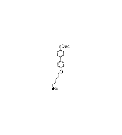 CCCCCCCCCCc1ccc(-c2ccc(OCCCCCC(C)CC)cc2)cc1